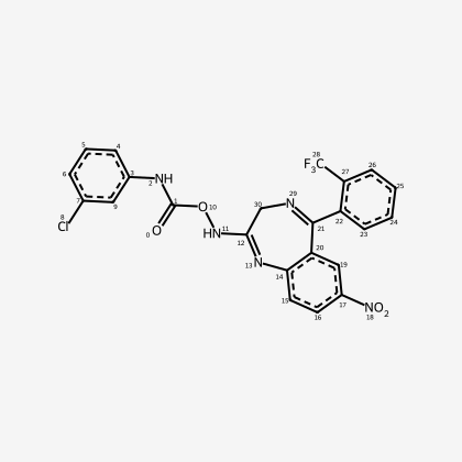 O=C(Nc1cccc(Cl)c1)ONC1=Nc2ccc([N+](=O)[O-])cc2C(c2ccccc2C(F)(F)F)=NC1